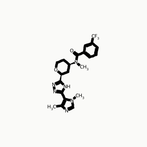 Cc1ncn(C)c1-c1nnc([C@@H]2C[C@H](N(C)C(=O)c3cccc(C(F)(F)F)c3)CCO2)[nH]1